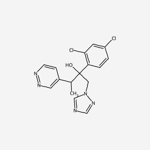 CC(c1ccnnc1)C(O)(Cn1cncn1)c1ccc(Cl)cc1Cl